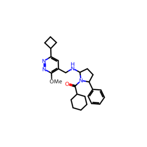 COc1nnc(C2CCC2)cc1CNC1CCC(c2ccccc2)N1C(=O)C1CCCCC1